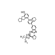 CC(C)(C)OC(=O)N1CCC[C@H]1c1nc2ccc(-c3ccc(-c4ccc(O)c5c4CC4(CCCC4)C5)c4c3C3CCC4C3)cc2[nH]1